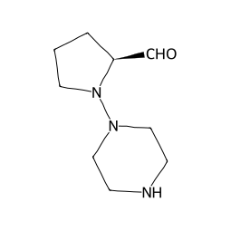 O=C[C@@H]1CCCN1N1CCNCC1